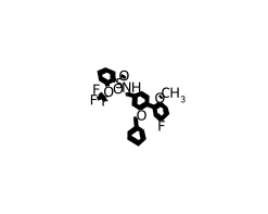 COc1ccc(F)cc1-c1ccc(CNS(=O)(=O)c2ccccc2OC(F)(F)F)cc1OCc1ccccc1